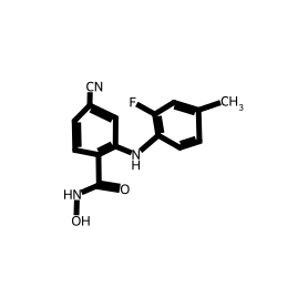 Cc1ccc(Nc2cc(C#N)ccc2C(=O)NO)c(F)c1